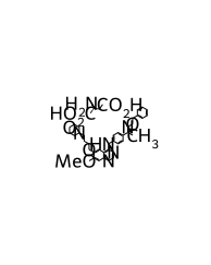 COc1cc2ncnc(Nc3ccc(C(C)=NOCc4ccccc4)cc3)c2cc1OCCCN1CCOCC1.N[C@@H](CC(=O)O)C(=O)O